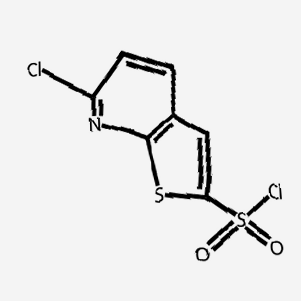 O=S(=O)(Cl)c1cc2ccc(Cl)nc2s1